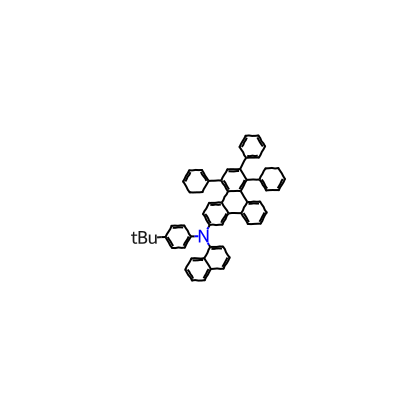 CC(C)(C)c1ccc(N(c2ccc3c(c2)c2ccccc2c2c(C4=CC=CCC4)c(-c4ccccc4)cc(C4=CC=CCC4)c32)c2cccc3ccccc23)cc1